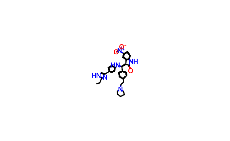 CCc1nc(-c2ccc(NC(=C3C(=O)Nc4ccc([N+](=O)[O-])cc43)c3ccc(CCN4CCCCC4)cc3)cc2)c[nH]1